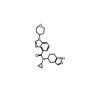 O=C(c1cccc2c1ncn2C1CCOCC1)N(C1CC1)C1CCc2[nH]ncc2C1